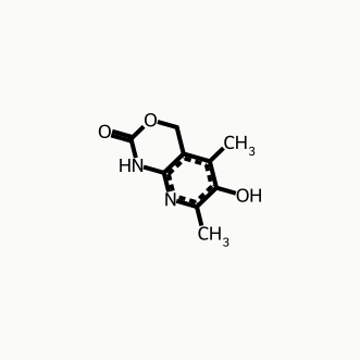 Cc1nc2c(c(C)c1O)COC(=O)N2